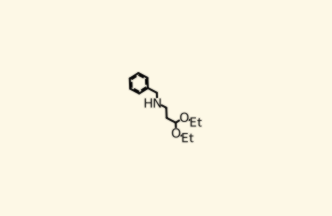 CCOC(CCNCc1ccccc1)OCC